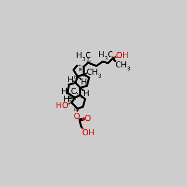 C[C@H](CCCC(C)(C)O)[C@H]1CC[C@H]2[C@@H]3CC[C@H]4[C@@H](O)[C@@H](OC(=O)CO)CC[C@]4(C)[C@H]3CC[C@]12C